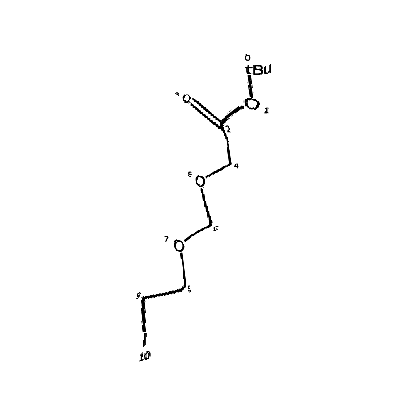 CC(C)(C)OC(=O)COCOCCI